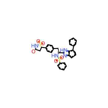 O=C1CC(c2ccc(C[C@H](NS(=O)(=O)c3ccccc3)c3nc4cccc(-c5ccccc5)c4[nH]3)cc2)S(=O)(=O)N1